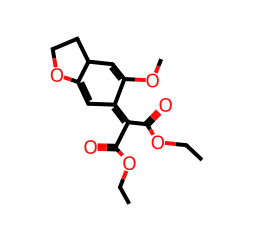 CCOC(=O)C(C(=O)OCC)=C1C=C2OCCC2C=C1OC